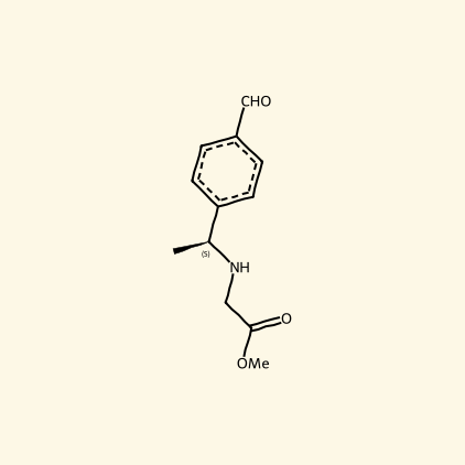 COC(=O)CN[C@@H](C)c1ccc(C=O)cc1